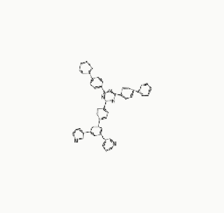 c1ccc(-c2ccc(-c3nc(-c4ccc(-c5ccccc5)cc4)nc(-c4ccc(-c5cc(-c6cccnc6)cc(-c6cccnc6)c5)cc4)n3)cc2)cc1